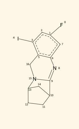 Fc1cc(I)c2c(c1)N=C1C3CCC(C3)N1C2